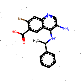 CC(Nc1c(N)cnc2cc(Br)c(C(=O)O)cc12)c1ccccc1